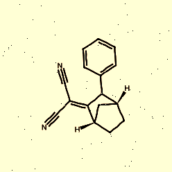 N#CC(C#N)=C1C(c2ccccc2)[C@@H]2CC[C@H]1C2